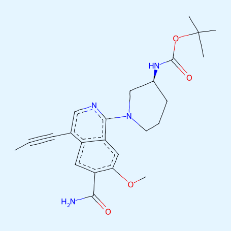 CC#Cc1cnc(N2CCC[C@H](NC(=O)OC(C)(C)C)C2)c2cc(OC)c(C(N)=O)cc12